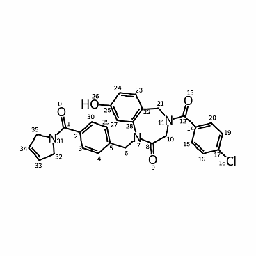 O=C(c1ccc(CN2C(=O)CN(C(=O)c3ccc(Cl)cc3)Cc3ccc(O)cc32)cc1)N1CC=CC1